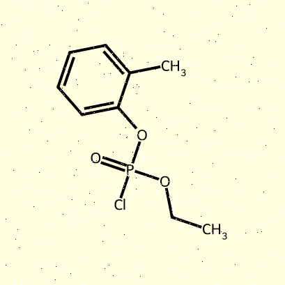 CCOP(=O)(Cl)Oc1ccccc1C